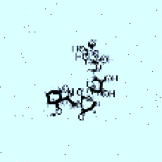 COc1cccc2onc(CN3C(=O)CCN([C@@H]4O[C@H](COP(=O)(O)OP(=O)(O)O)[C@H](O)[C@@H]4O)C3=O)c12